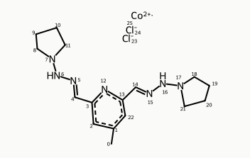 Cc1cc(C=NNN2CCCC2)nc(C=NNN2CCCC2)c1.[Cl-].[Cl-].[Co+2]